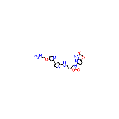 NCCOc1ccnc(-c2ccnc(CNCC[C@H]3CN(c4ccc5c(n4)NC(=O)CO5)C(=O)O3)c2)c1